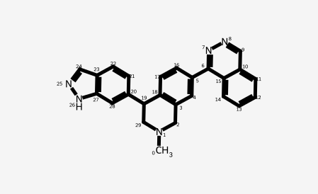 CN1Cc2cc(-c3nncc4ccccc34)ccc2C(c2ccc3cn[nH]c3c2)C1